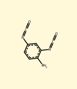 Bc1ccc(N=C=O)cc1N=C=O